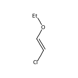 [CH2]COC=CCl